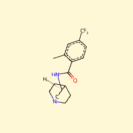 Cc1cc(C(F)(F)F)ccc1C(=O)N[C@@H]1CN2CCC1CC2